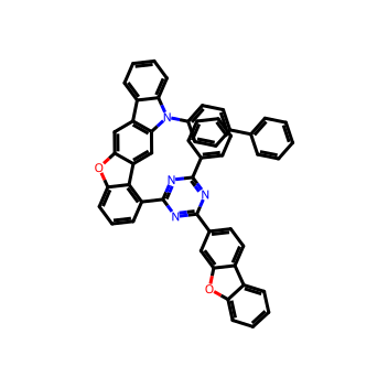 c1ccc(-c2ccc(-n3c4ccccc4c4cc5oc6cccc(-c7nc(-c8ccccc8)nc(-c8ccc9c(c8)oc8ccccc89)n7)c6c5cc43)cc2)cc1